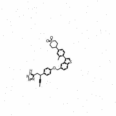 CC#CC(Cc1nnn[nH]1)c1ccc(OCc2ccc3scc(-c4ccc(C5CCS(=O)(=O)CC5)cc4C)c3c2)cc1